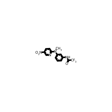 CN(c1cccc(NC(=O)C(F)(F)F)c1)c1ccc([N+](=O)[O-])cn1